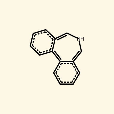 C1=c2ccccc2=c2ccccc2=CN1